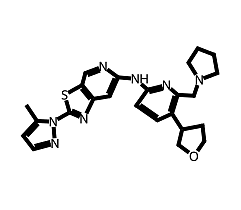 Cc1ccnn1-c1nc2cc(Nc3ccc(C4CCOC4)c(CN4CCCC4)n3)ncc2s1